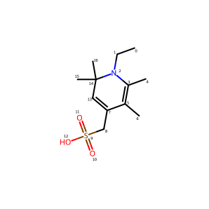 CCN1C(C)=C(C)C(CS(=O)(=O)O)=CC1(C)C